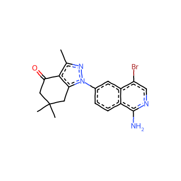 Cc1nn(-c2ccc3c(N)ncc(Br)c3c2)c2c1C(=O)CC(C)(C)C2